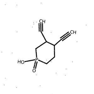 C#CC1CCP(=O)(O)CC1C#C